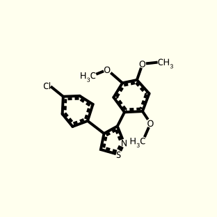 COc1cc(OC)c(-c2nscc2-c2ccc(Cl)cc2)cc1OC